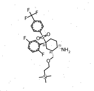 C[Si](C)(C)CCOC[C@@H]1C[C@](c2cc(F)ccc2F)(S(=O)(=O)c2ccc(C(F)(F)F)cc2)CC[C@@H]1N